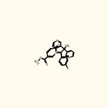 COC(=O)c1ccc(=O)n(C(c2ccc(F)cc2)C(O)(c2cccnc2)c2cccnc2)c1